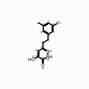 Cc1cc(F)cc(CCc2cc(O)c(=O)[nH]n2)c1